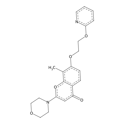 Cc1c(OCCOc2ccccn2)ccc2c(=O)cc(N3CCOCC3)oc12